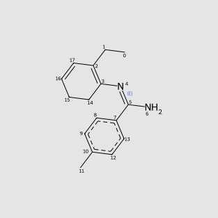 CCC1=C(/N=C(/N)c2ccc(C)cc2)CCC=C1